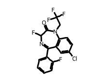 O=C1C(F)N=C(c2ccccc2F)c2cc(Cl)ccc2N1CC(F)(F)F